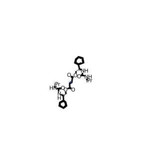 CC(C)NC(=O)N[C@H](COC(=O)/C=C/C(=O)OC[C@@H](NC(=O)NC(C)C)c1ccccc1)c1ccccc1